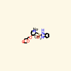 Cc1c(OCC2COCCO2)ccnc1C[S+]([O-])c1nc2ccccc2[nH]1.[Na]